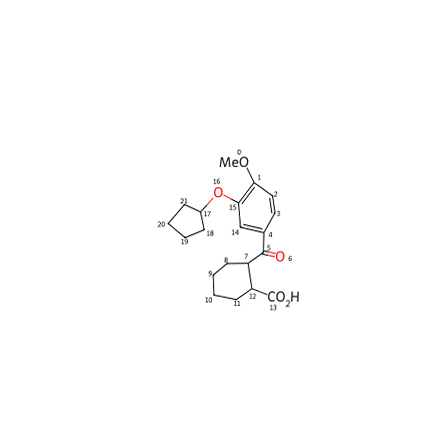 COc1ccc(C(=O)C2CCCCC2C(=O)O)cc1OC1CCCC1